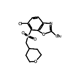 CC(C)(C)c1nc2ccc(Cl)c(S(=O)(=O)CC3CCOCC3)c2o1